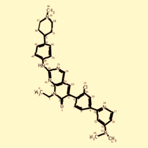 CCn1c(=O)c(-c2ccc(-c3cc(N(C)C)ccn3)cc2Cl)cc2cnc(Nc3ccc(C4CCN(C)CC4)cc3)nc21